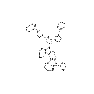 c1ccc(-c2ccc(-c3cc(-n4c5ccccc5c5c6c7ccccc7n(-c7ccccc7)c6ccc54)nc(-c4cccc(-c5ccccc5)c4)n3)cc2)cc1